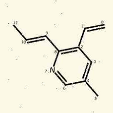 C=Cc1cc(C)cnc1C=CC